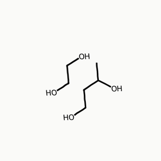 CC(O)CCO.OCCO